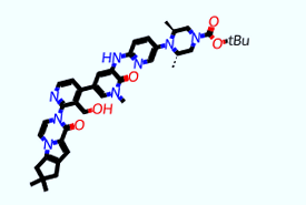 C[C@H]1CN(C(=O)OC(C)(C)C)C[C@H](C)N1c1ccc(Nc2cc(-c3ccnc(-n4ccn5c6c(cc5c4=O)CC(C)(C)C6)c3CO)cn(C)c2=O)nc1